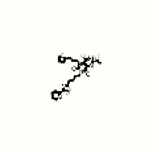 O=c1[nH]c(C(F)F)nc2c(=O)n(CCCCc3noc(-c4ccccn4)n3)c(=O)n(CCCc3cccs3)c12